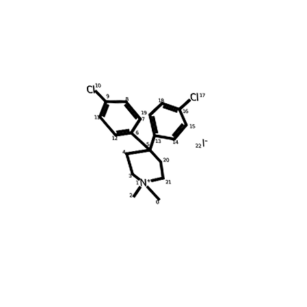 C[N+]1(C)CCC(c2ccc(Cl)cc2)(c2ccc(Cl)cc2)CC1.[I-]